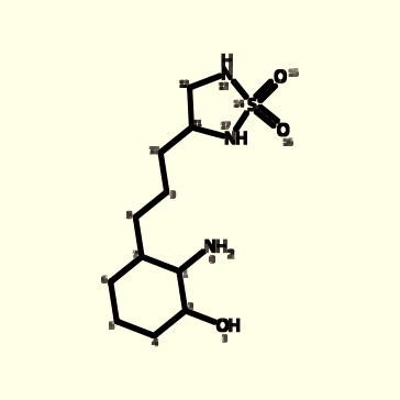 NC1C(O)CCCC1CCCC1CNS(=O)(=O)N1